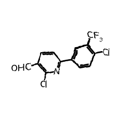 O=Cc1ccc(-c2ccc(Cl)c(C(F)(F)F)c2)nc1Cl